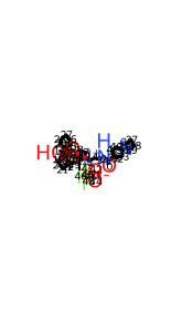 O=C(NCCC[N+]12CCC(CC1)[C@@H](OC(=O)C(O)(c1ccccc1)c1ccccc1)C2)c1ccc(-n2cccc2)cc1.O=C([O-])C(F)(F)F